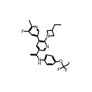 C=C(Nc1ccc(OC(F)(F)F)cc1)c1cnc(N2CC(CC)C2)c(-c2cnc(C)c(F)c2)c1